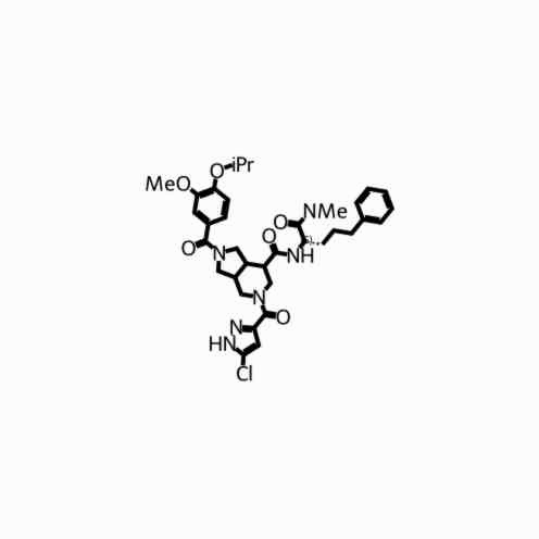 CNC(=O)[C@H](CCCc1ccccc1)NC(=O)C1CN(C(=O)c2cc(Cl)[nH]n2)CC2CN(C(=O)c3ccc(OC(C)C)c(OC)c3)CC21